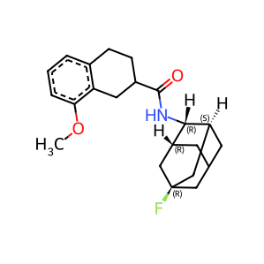 COc1cccc2c1CC(C(=O)N[C@H]1[C@@H]3CC4C[C@H]1C[C@](F)(C4)C3)CC2